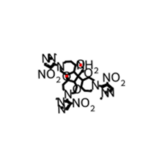 Cn1ncc([N+](=O)[O-])c1N1CCC(=O)C(C(C(N)=O)(C2CCN(c3c([N+](=O)[O-])cnn3C)CCC2=O)C2CCN(c3c([N+](=O)[O-])cnn3C)CCC2=O)CC1